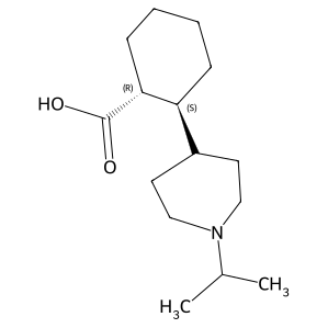 CC(C)N1CCC([C@@H]2CCCC[C@H]2C(=O)O)CC1